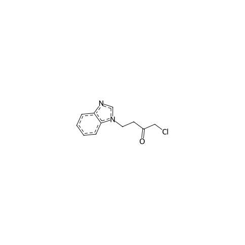 O=C(CCl)CCn1cnc2ccccc21